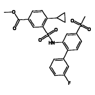 COC(=O)c1ccc(C2CC2)c(S(=O)(=O)Nc2cc(S(C)(=O)=O)ccc2-c2cccc(F)c2)c1